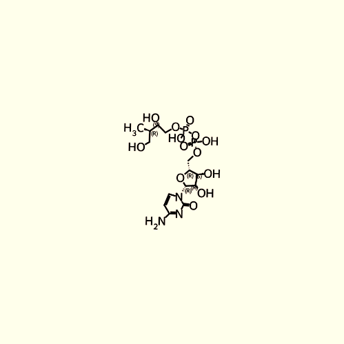 C[C@H](CO)[C@H](O)COP(=O)(O)OP(=O)(O)OC[C@H]1O[C@@H](n2ccc(N)nc2=O)[C@H](O)[C@@H]1O